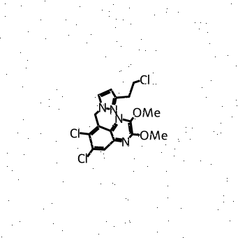 COc1nc2cc(Cl)c(Cl)c(Cn3ccc(CCCl)n3)c2nc1OC